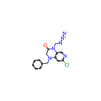 [N-]=[N+]=NCN1C(=O)CN(Cc2ccccc2)c2cc(Cl)ncc21